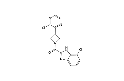 O=C(c1nc2cccc(Cl)c2[nH]1)N1CC(c2nccnc2Cl)C1